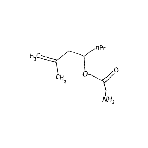 C=C(C)CC(CCC)OC(N)=O